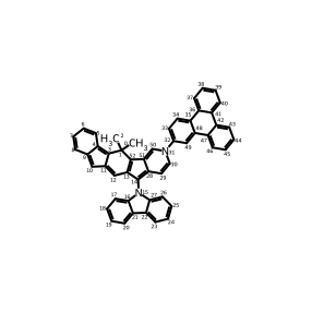 CC1(C)C2=c3ccccc3=CC2=Cc2c(-n3c4ccccc4c4ccccc43)c3ccn(-c4ccc5c6ccccc6c6ccccc6c5c4)cc-3c21